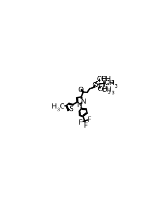 Cc1csc(-c2cc(C(=O)CCCO[Si](C)(C)C(C)(C)C)nn2-c2ccc(C(F)(F)F)cc2)c1